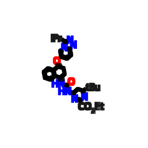 CCOC(=O)C1=NC(NC(=O)N[C@H]2CC[C@@H](Oc3ccc4nnc(C(C)C)n4c3)c3ccccc32)CC(C(C)(C)C)=N1